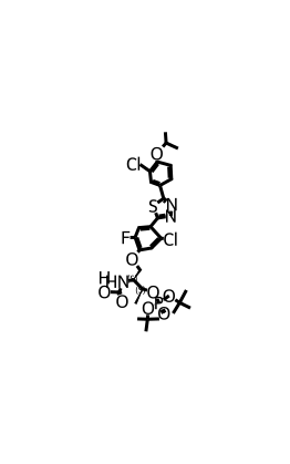 CC(C)Oc1ccc(-c2nnc(-c3cc(F)c(OC[C@H](NC(=O)O)[C@H](C)OP(=O)(OC(C)(C)C)OC(C)(C)C)cc3Cl)s2)cc1Cl